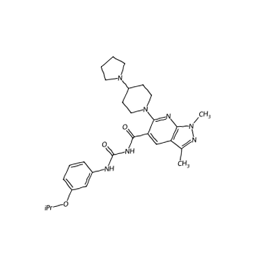 Cc1nn(C)c2nc(N3CCC(N4CCCC4)CC3)c(C(=O)NC(=O)Nc3cccc(OC(C)C)c3)cc12